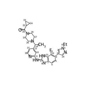 CCn1cc(-c2ccc3nc(Nc4cc(C(C)N5CCN(C(=O)C6CC6)CC5)ccn4)[nH]c3c2F)cn1